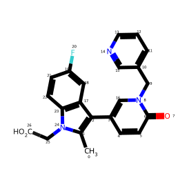 Cc1c(-c2ccc(=O)n(Cc3cccnc3)c2)c2cc(F)ccc2n1CC(=O)O